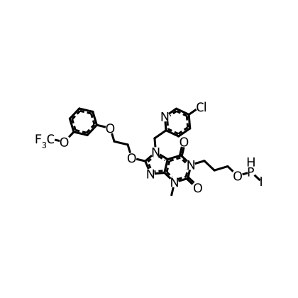 Cn1c(=O)n(CCCOPI)c(=O)c2c1nc(OCCOc1cccc(OC(F)(F)F)c1)n2Cc1ccc(Cl)cn1